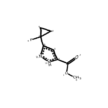 COC(=O)c1cc(C2(F)CC2)n[nH]1